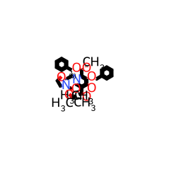 COC(=O)c1c(OCc2ccccc2)c(=O)c(C(C)=O)cn1[C@@H](Cc1ccccc1)C1OCCN1C(=O)OC(C)(C)C